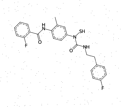 Cc1cc(N(S)C(=O)NCCc2ccc(F)cc2)ccc1NC(=O)c1ccccc1F